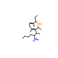 CCCCC(C(C)/C1=C(\C)C/C=C(\C)C(CC)PC1C)N(C)C